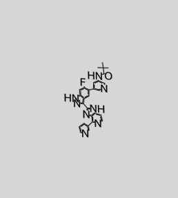 CC(C)(C)C(=O)Nc1cncc(-c2cc3c(-c4nc5c(-c6cccnc6)nccc5[nH]4)n[nH]c3cc2F)c1